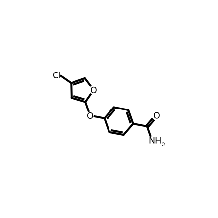 NC(=O)c1ccc(Oc2cc(Cl)co2)cc1